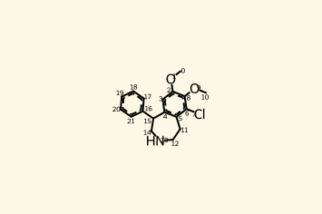 COc1cc2c(c(Cl)c1OC)CCNCC2c1ccccc1